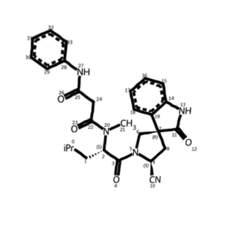 CC(C)C[C@@H](C(=O)N1C[C@]2(C[C@H]1C#N)C(=O)Nc1ccccc12)N(C)C(=O)CC(=O)Nc1ccccc1